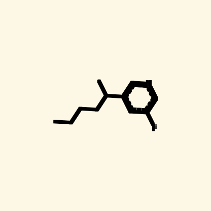 CCCCC(C)c1cncc(F)c1